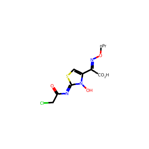 CCCON=C(C(=O)O)c1csc(=NC(=O)CCl)n1O